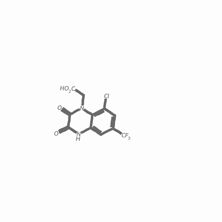 O=C(O)Cn1c(=O)c(=O)[nH]c2cc(C(F)(F)F)cc(Cl)c21